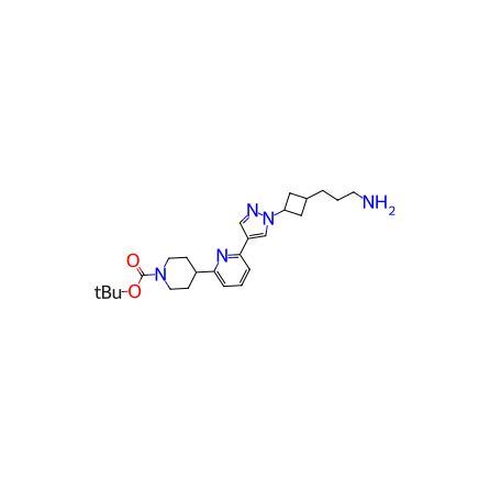 CC(C)(C)OC(=O)N1CCC(c2cccc(-c3cnn(C4CC(CCCN)C4)c3)n2)CC1